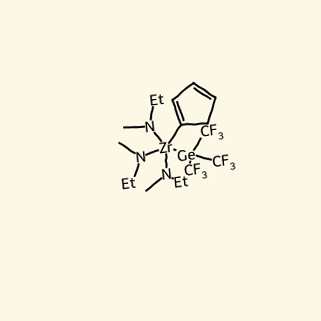 CC[N](C)[Zr]([C]1=CC=CC1)([N](C)CC)([N](C)CC)[Ge]([C](F)(F)F)([C](F)(F)F)[C](F)(F)F